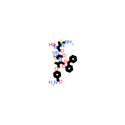 NC(=O)c1ccc(OCC2=C(C(=O)OC(c3ccccc3)c3ccccc3)N3C(=O)C(NC(=O)C(=NO)c4csc(N)n4)[C@@H]3SC2)cc1